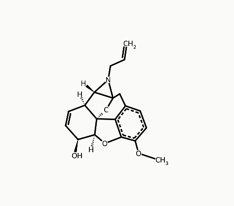 C=CCN1[C@H]2[C@@H]3C=C[C@H](O)[C@@H]4Oc5c(OC)ccc6c5[C@]34CC21C6